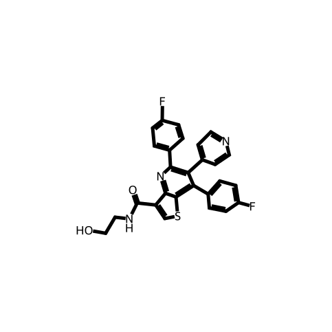 O=C(NCCO)c1csc2c(-c3ccc(F)cc3)c(-c3ccncc3)c(-c3ccc(F)cc3)nc12